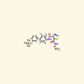 [2H]C([2H])([2H])Oc1cccc(-c2c(F)c(F)c(NC(=O)c3ncsc3C(=O)NOC)c(F)c2F)c1